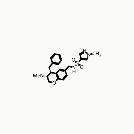 CN[C@H]1COc2ccc(CNS(=O)(=O)c3cnn(C)c3)cc2[C@@H]1Cc1ccccc1